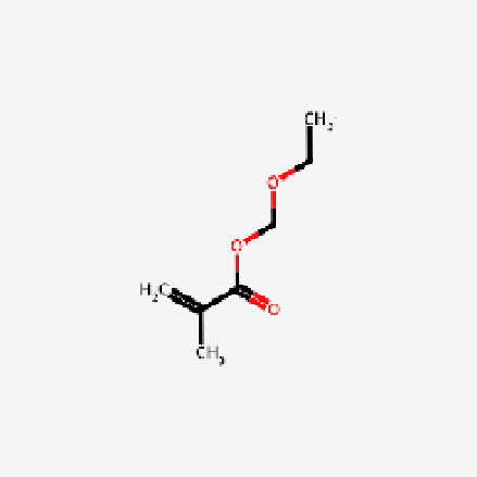 [CH2]COCOC(=O)C(=C)C